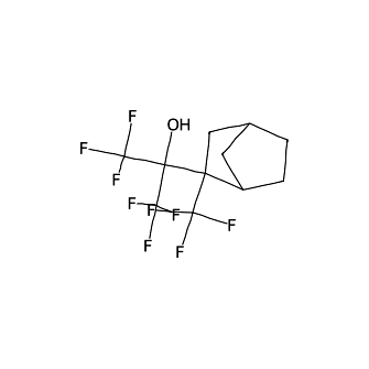 OC(C(F)(F)F)(C(F)(F)F)C1(C(F)(F)F)CC2CCC1C2